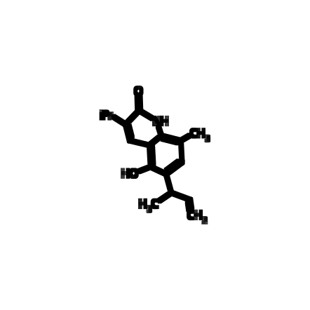 C=CC(C)c1cc(C)c2[nH]c(=O)c(C(C)C)cc2c1O